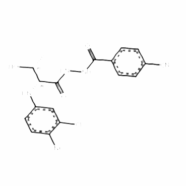 [C-]#[N+]c1ccc(N[C@@H](C(=O)NNC(=O)c2ccc(C#N)cc2)[C@@H](C)O)cc1Cl